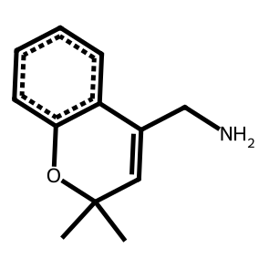 CC1(C)C=C(CN)c2ccccc2O1